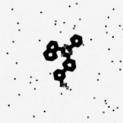 Bc1cccc(-c2cccc(-c3nc(-c4ccccc4)nc(-c4cccc5ccccc45)n3)c2)c1